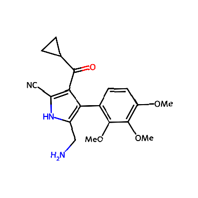 COc1ccc(-c2c(CN)[nH]c(C#N)c2C(=O)C2CC2)c(OC)c1OC